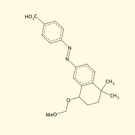 COCOC1CCC(C)(C)c2ccc(N=Nc3ccc(C(=O)O)cc3)cc21